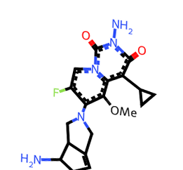 COc1c(N2CC3=CCC(N)C3C2)c(F)cn2c(=O)n(N)c(=O)c(C3CC3)c12